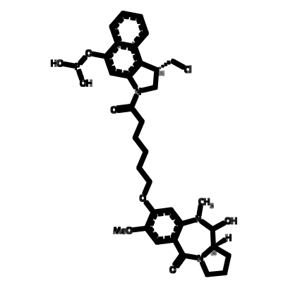 COc1cc2c(cc1OCCCCCC(=O)N1C[C@@H](CCl)c3c1cc(OP(O)O)c1ccccc31)N(C)C(O)[C@@H]1CCCN1C2=O